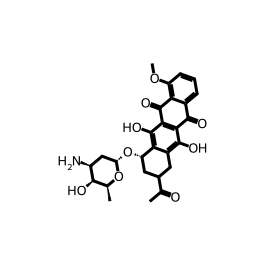 COc1cccc2c1C(=O)c1c(O)c3c(c(O)c1C2=O)CC(C(C)=O)C[C@@H]3O[C@H]1C[C@H](N)[C@H](O)[C@H](C)O1